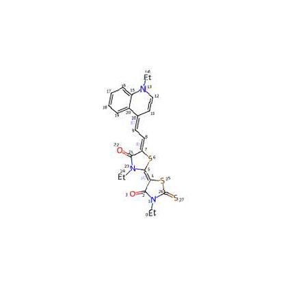 CCN1C(=O)/C(=c2/s/c(=C/C=C3\C=CN(CC)c4ccccc43)c(=O)n2CC)SC1=S